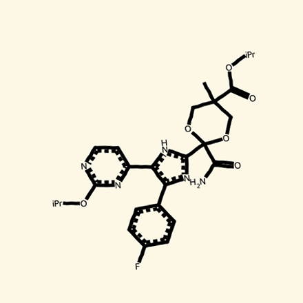 CC(C)OC(=O)C1(C)COC(C(N)=O)(c2nc(-c3ccc(F)cc3)c(-c3ccnc(OC(C)C)n3)[nH]2)OC1